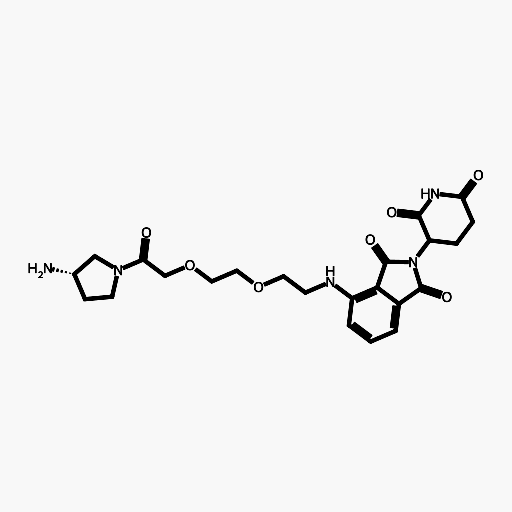 N[C@H]1CCN(C(=O)COCCOCCNc2cccc3c2C(=O)N(C2CCC(=O)NC2=O)C3=O)C1